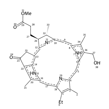 CCC1=C(C)c2cc3[nH]c(cc4nc(c5c6[nH]c(cc1n2)c(C)c6C(=O)C5)[C@@H](CCC(=O)OC)[C@@H]4C)c(C)c3CO